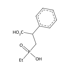 CCP(=O)(O)CC(C(=O)O)c1ccccc1